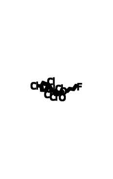 O=C(OCCCCF)C(Cl)(Cl)/N=N/c1c(Cl)cc(Cl)cc1Cl